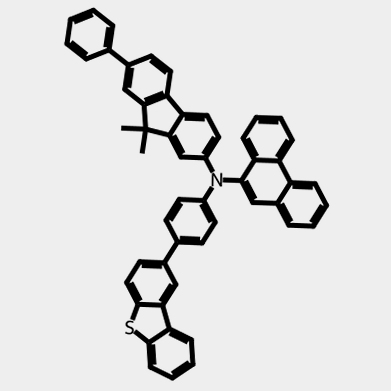 CC1(C)c2cc(-c3ccccc3)ccc2-c2ccc(N(c3ccc(-c4ccc5sc6ccccc6c5c4)cc3)c3cc4ccccc4c4ccccc34)cc21